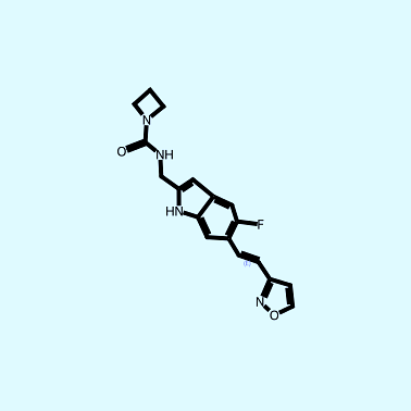 O=C(NCc1cc2cc(F)c(/C=C/c3ccon3)cc2[nH]1)N1CCC1